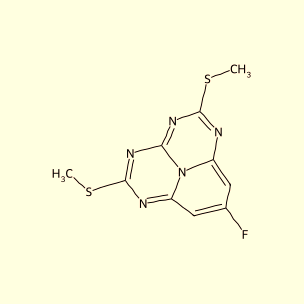 CSC1=NC2=CC(F)=CC3=NC(SC)=NC(=N1)N23